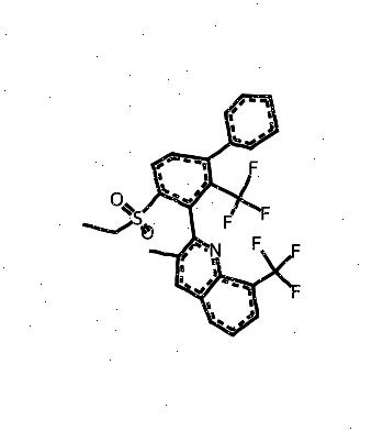 CCS(=O)(=O)c1ccc(-c2ccccc2)c(C(F)(F)F)c1-c1nc2c(C(F)(F)F)cccc2cc1C